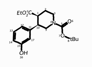 CCOC(=O)[C@H]1CCN(C(=O)OC(C)(C)C)C[C@H]1c1cccc(O)c1